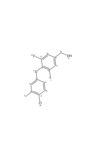 Cc1cc(Oc2c(F)cc(CO)cc2F)ccc1Cl